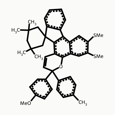 COc1ccc(C2(c3ccc(C)cc3)C=Cc3c4c(c5cc(SC)c(SC)cc5c3O2)-c2ccccc2C42CC(C)(C)CC(C)(C)C2)cc1